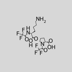 NCCCC[C@H](NC(=O)C(F)(F)F)C(=O)O.O=C(O)[C@@H]1CCCN1C(=O)C(F)(F)F